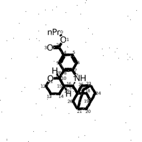 CCCOC(=O)c1ccc2c(c1)[C@H]1OCCC[C@H]1[C@@H](C13CC4CC(CC(C4)C1)C3)N2